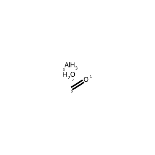 C=O.O.[AlH3]